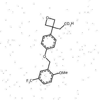 COc1ccc(C(F)(F)F)cc1COc1ccc(C2(CC(=O)O)COC2)cc1